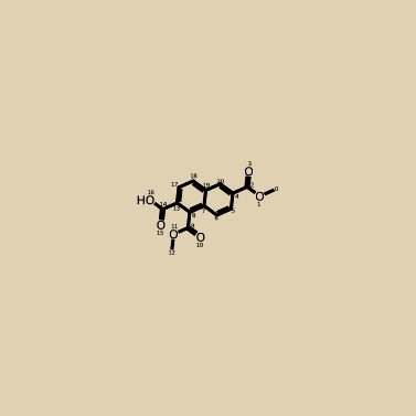 COC(=O)c1ccc2c(C(=O)OC)c(C(=O)O)ccc2c1